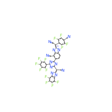 N#CC(=C1N=c2c(F)c(F)c(F)c(F)c2=N1)c1nc(-c2ccc3c(c2C#N)=N/C(=C(\C#N)c2c(F)c(F)c(C#N)c(F)c2F)N=3)nc(-c2c(F)c(F)c(F)c(F)c2F)n1